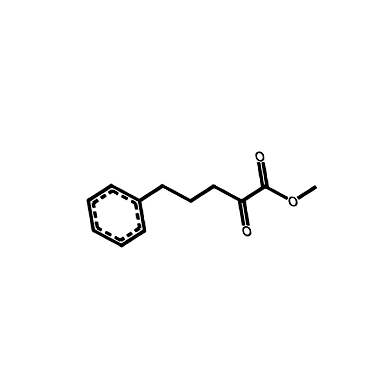 COC(=O)C(=O)CCCc1ccccc1